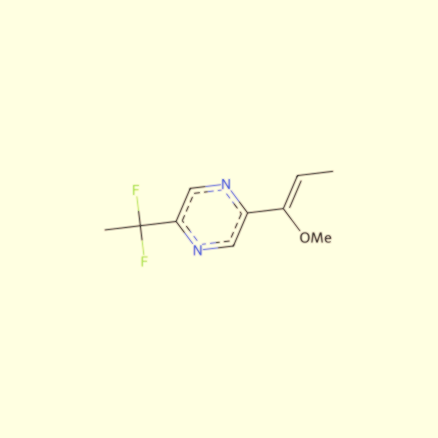 CC=C(OC)c1cnc(C(C)(F)F)cn1